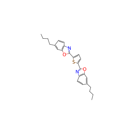 CCCCc1ccc2nc(-c3ccc(-c4nc5ccc(CCCC)cc5o4)s3)oc2c1